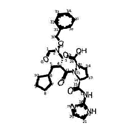 O=CN(C[C@@H](CC1CCCC1)C(=O)N1[C@H](C(=O)Nc2ncc[nH]2)CCN1C(=O)O)OCc1ccccc1